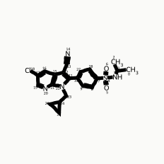 CC(C)NS(=O)(=O)c1ccc(-c2c(C#N)c3cc(Cl)cnc3n2CC2CC2)cc1